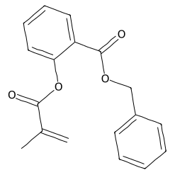 C=C(C)C(=O)Oc1ccccc1C(=O)OCc1ccccc1